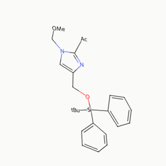 COCn1cc(CO[Si](c2ccccc2)(c2ccccc2)C(C)(C)C)nc1C(C)=O